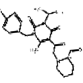 CC(C)n1c(=O)c(C(=O)CN2CCCC[C@@H]2C=O)c(N)n(Cc2ccc(F)cc2)c1=O